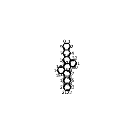 c1ccc2cc3c(cc2c1)cc1c2cccc4c5cc6ccccc6cc5cc(c5cccc3c51)c42